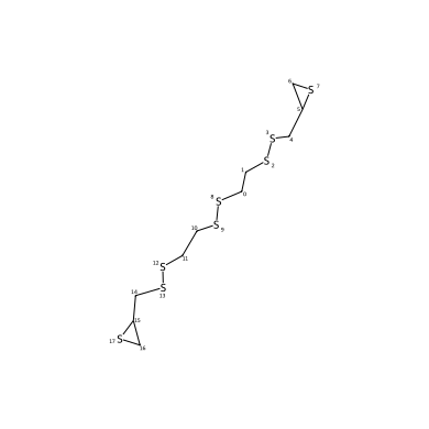 C(CSSCC1CS1)SSCCSSCC1CS1